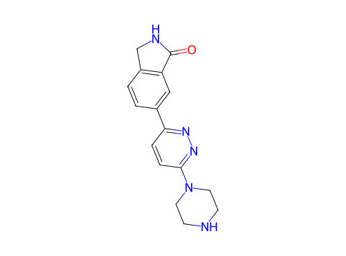 O=C1NCc2ccc(-c3ccc(N4CCNCC4)nn3)cc21